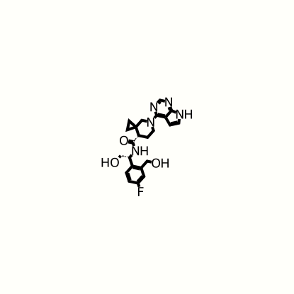 O=C(N[C@@H](CO)c1ccc(F)cc1CO)[C@H]1CCN(c2ncnc3[nH]ccc23)CC12CC2